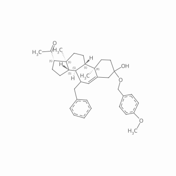 COc1ccc(COC2(O)CC[C@@]3(C)C(=CC(Cc4ccccc4)[C@H]4[C@@H]5CC[C@H](C(C)=O)[C@@]5(C)CC[C@@H]43)C2)cc1